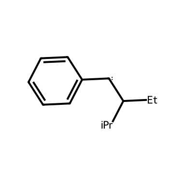 CCC([C]c1ccccc1)C(C)C